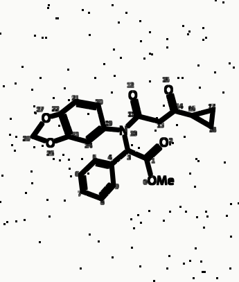 COC(=O)C(c1ccccc1)N(C(=O)CC(=O)C1CC1)c1ccc2c(c1)OCO2